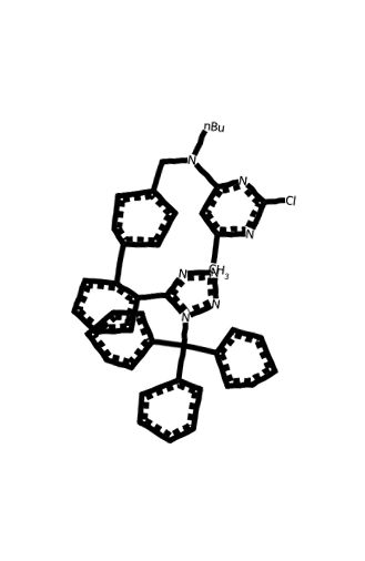 CCCCN(Cc1ccc(-c2ccccc2-c2nnnn2C(c2ccccc2)(c2ccccc2)c2ccccc2)cc1)c1cc(C)nc(Cl)n1